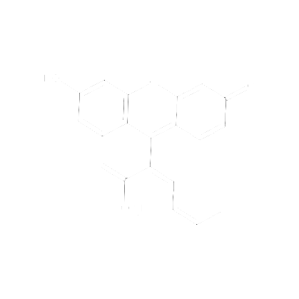 C=C(C(=O)O)/C(=C\C=C/C)c1c2ccc(=O)cc-2oc2cc(O)ccc12